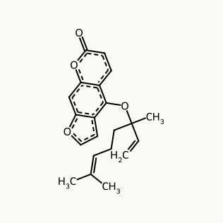 C=CC(C)(CCC=C(C)C)Oc1c2ccoc2cc2oc(=O)ccc12